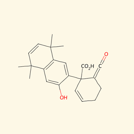 CC1(C)C=CC(C)(C)c2cc(C3(C(=O)O)C=CCCC3=C=O)c(O)cc21